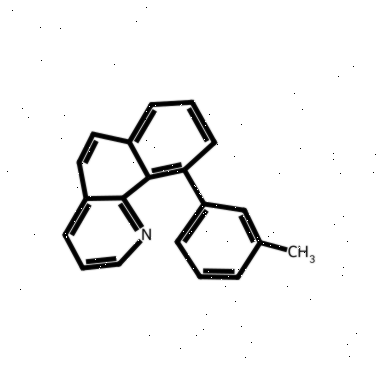 Cc1cccc(-c2cccc3ccc4cccnc4c23)c1